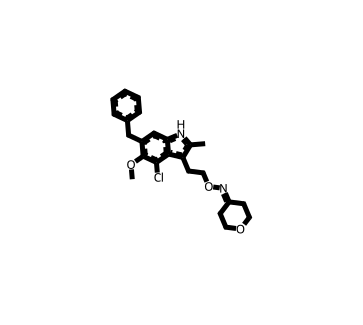 COc1c(Cc2ccccc2)cc2[nH]c(C)c(CCON=C3CCOCC3)c2c1Cl